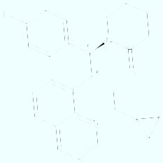 O=C1CCCCN1[C@H](c1ccc(F)cc1)[C@H](OCC1CC1)c1cccc2cccnc12